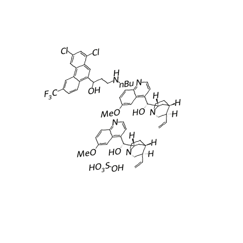 C=C[C@H]1C[N@]2CC[C@H]1C[C@H]2[C@H](O)c1ccnc2ccc(OC)cc12.C=C[C@H]1C[N@]2CC[C@H]1C[C@H]2[C@H](O)c1ccnc2ccc(OC)cc12.CCCCNCCC(O)c1cc2c(Cl)cc(Cl)cc2c2cc(C(F)(F)F)ccc12.O=S(=O)(O)O